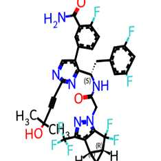 CC(C)(O)C#Cc1ncc(-c2ccc(F)c(C(N)=O)c2)c([C@H](Cc2cc(F)cc(F)c2)NC(=O)Cn2nc(C(F)(F)F)c3c2C(F)(F)[C@@H]2C[C@H]32)n1